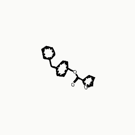 O=C(Oc1ccc(Cc2ccccc2)cc1)c1ccco1